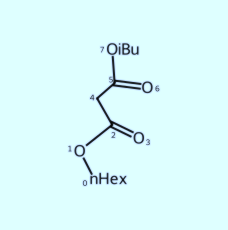 CCCCCCOC(=O)CC(=O)OC[C](C)C